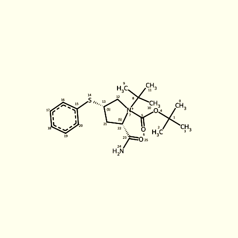 CC(C)(C)OC(=O)[N+]1(C(C)(C)C)C[C@@H](Sc2ccccc2)C[C@H]1C(N)=O